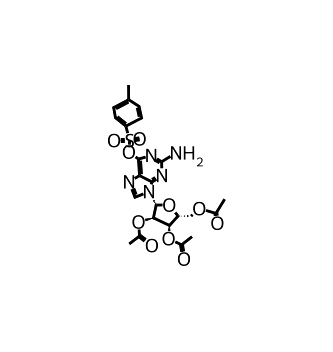 CC(=O)OC[C@H]1O[C@@H](n2cnc3c(OS(=O)(=O)c4ccc(C)cc4)nc(N)nc32)[C@H](OC(C)=O)[C@@H]1OC(C)=O